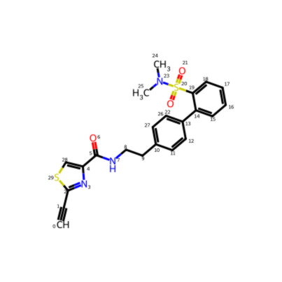 C#Cc1nc(C(=O)NCCc2ccc(-c3ccccc3S(=O)(=O)N(C)C)cc2)cs1